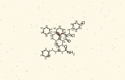 NC(=O)CN(CCc1ccccn1)C(=O)CC1C(=O)N(C(Cl)Cc2ccc(Cl)cc2)CC(=O)N1CCC(c1ccccc1)c1ccccc1